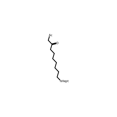 CCCCCCCCCCCCCCC(=O)CC(C)=O